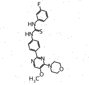 COc1cnc(-c2ccc(NC(=S)Nc3cccc(F)c3)cc2)nc1N1CCOCC1